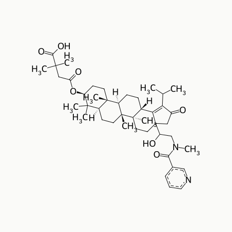 CC(C)C1=C2[C@H]3CC[C@@H]4[C@@]5(C)CC[C@H](OC(=O)CC(C)(C)C(=O)O)C(C)(C)[C@@H]5CC[C@@]4(C)[C@]3(C)CCC2(C(O)CN(C)C(=O)c2cccnc2)CC1=O